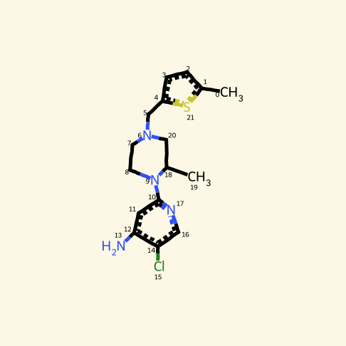 Cc1ccc(CN2CCN(c3cc(N)c(Cl)cn3)C(C)C2)s1